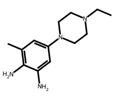 CCN1CCN(c2cc(C)c(N)c(N)c2)CC1